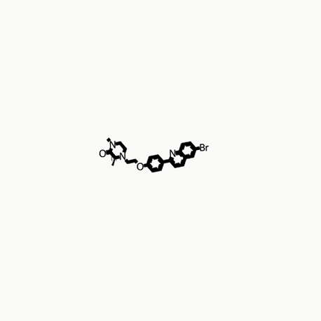 C[C@H]1C(=O)N(C)CCN1CCOc1ccc(-c2ccc3cc(Br)ccc3n2)cc1